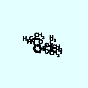 CC1(C)COc2c(cccc2B2OC(C)(C)C(C)(C)O2)N1